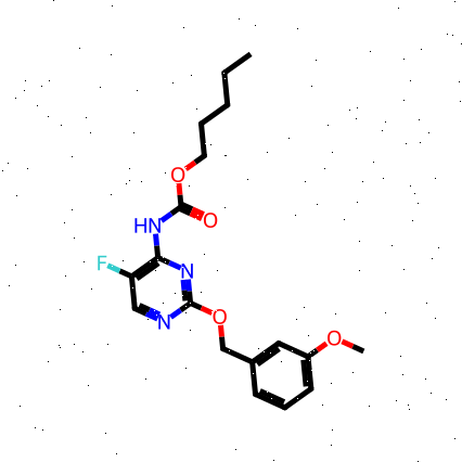 CCCCCOC(=O)Nc1nc(OCc2cccc(OC)c2)ncc1F